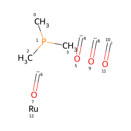 CP(C)C.[C]=O.[C]=O.[C]=O.[C]=O.[Ru]